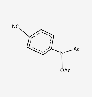 CC(=O)ON(C(C)=O)c1ccc(C#N)cc1